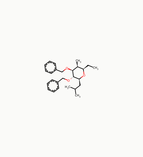 CC[C@H]1O[C@@H](CC(C)C)[C@H](OCc2ccccc2)[C@@H](OCc2ccccc2)[C@H]1C